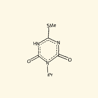 CSc1nc(=O)n(C(C)C)c(=O)[nH]1